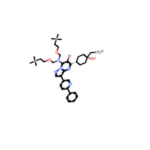 C[Si](C)(C)CCOCN(COCC[Si](C)(C)C)c1c(Br)c([C@H]2CC[C@@](O)(CC(=O)O)CC2)nc2c(-c3ccc(-c4ccccc4)nc3)cnn12